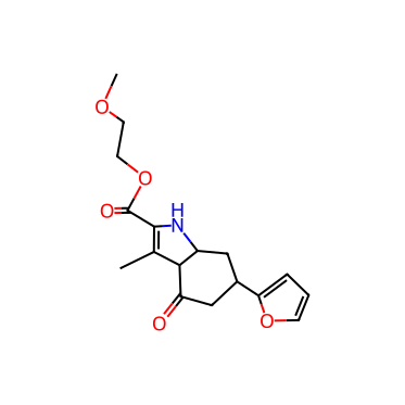 COCCOC(=O)C1=C(C)C2C(=O)CC(c3ccco3)CC2N1